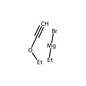 C#COCC.C[CH2][Mg][Br]